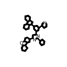 c1ccc(-c2nc(-c3cc(-c4cccnc4)cc(-c4cc5ccccc5c5ccccc45)c3)cc(-c3ccc4oc5ccccc5c4c3)n2)cc1